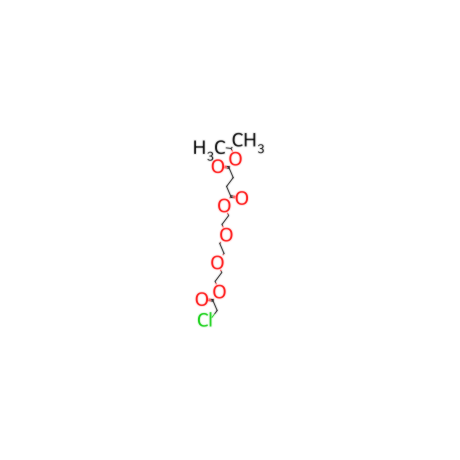 CC(C)OC(=O)CCC(=O)OCCOCCOCCOC(=O)CCl